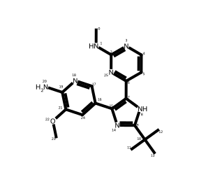 CNc1nccc(-c2[nH]c(C(C)(C)C)nc2-c2cnc(N)c(OC)c2)n1